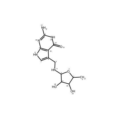 CC1OC(NCc2c[nH]c3nc(N)[nH]c(=O)c23)C(O)C1O